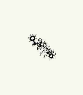 CC(C)(NC(=O)N1CCN2C(=O)N(C3CC3c3ccccc3)C(=O)C2C1)c1ccccc1